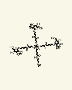 CC(=O)NC1C(O)[C@@H](O)C(CO)O[C@H]1OCCCNC(=O)CCOCC(COCCC(=O)NCCCCO[C@@H]1OC(CO)[C@H](O)[C@H](O)C1NC(C)=O)(COCCC(=O)NCCCCO[C@@H]1OC(CO)[C@H](O)[C@H](O)C1NC(C)=O)NC(=O)CCCC(=O)NCCCOC(C)C